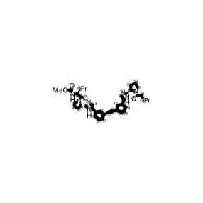 COC(=O)N[C@H](C(=O)N1CCC[C@H]1c1ncc(-c2cccc(C#Cc3cccc(-c4cnc([C@@H]5CCCN5C(=O)CC(C)C)[nH]4)c3)c2)[nH]1)C(C)C